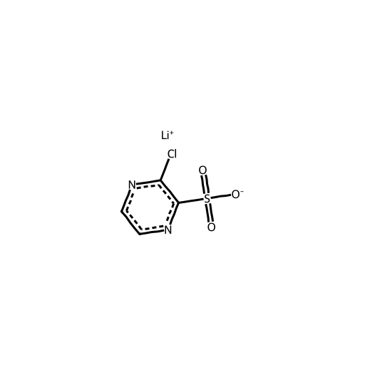 O=S(=O)([O-])c1nccnc1Cl.[Li+]